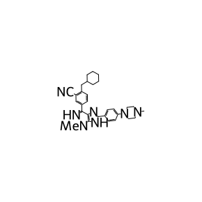 CNc1[nH]c(-c2ccc(N3CCN(C)CC3)cc2)nc1C(=N)c1ccc(CC2CCCCC2)c(C#N)c1